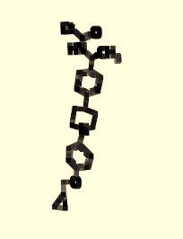 CCC(=O)N[C@@H](C)c1ccc(C2CCN(c3ccc(OCC4CC4)cc3)CC2)cc1